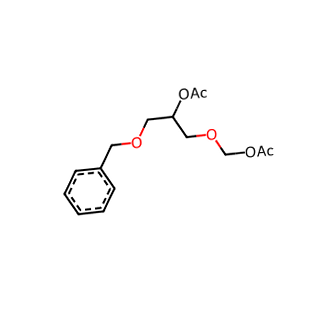 CC(=O)OCOCC(COCc1ccccc1)OC(C)=O